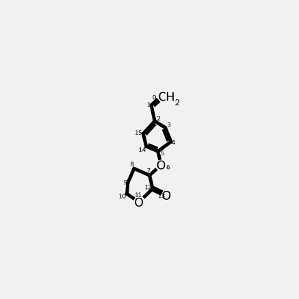 C=Cc1ccc(OC2CCCOC2=O)cc1